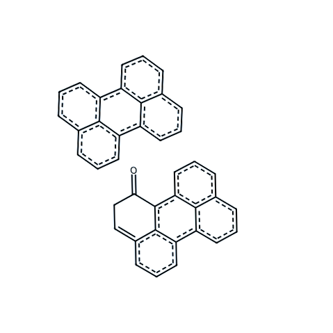 O=C1CC=c2cccc3c2c1c1cccc2cccc3c21.c1cc2cccc3c4cccc5cccc(c(c1)c23)c54